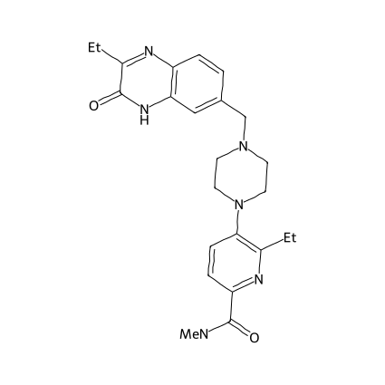 CCc1nc(C(=O)NC)ccc1N1CCN(Cc2ccc3nc(CC)c(=O)[nH]c3c2)CC1